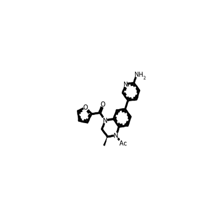 CC(=O)N1c2ccc(-c3ccc(N)nc3)cc2N(C(=O)c2ccco2)C[C@@H]1C